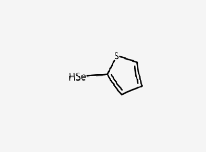 [SeH]c1cccs1